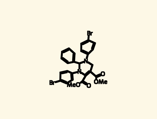 COC(=O)C1=C(C(=O)OC)N(c2ccc(Br)cc2)C(c2ccccc2)N(c2ccc(Br)cc2)C1